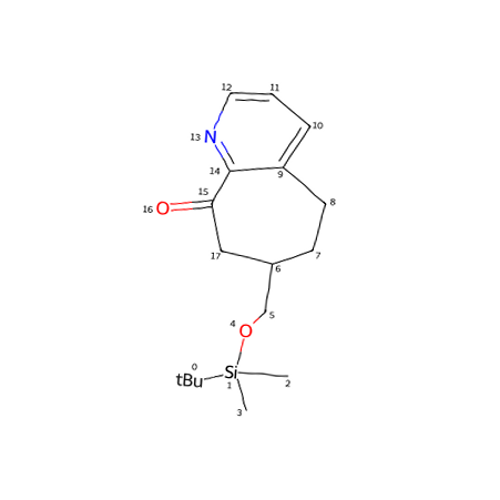 CC(C)(C)[Si](C)(C)OCC1CCc2cccnc2C(=O)C1